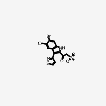 CS(=O)(=O)CC(=O)c1[nH]c2cc(Br)c(Cl)cc2c1-c1ccsn1